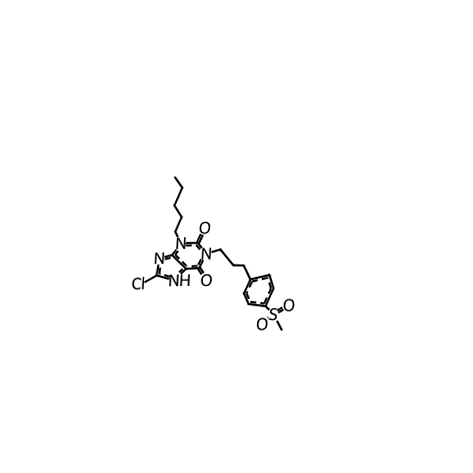 CCCCCn1c(=O)n(CCCc2ccc(S(C)(=O)=O)cc2)c(=O)c2[nH]c(Cl)nc21